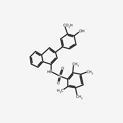 Cc1cc(C)c(C)c(S(=O)(=O)Nc2cc(-c3ccc(O)c(C(=O)O)c3)cc3ccccc23)c1C